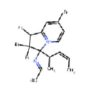 C/C=C\C(C)C1(N=CC(C)CC)[n+]2ccc(C(C)C)cc2C(CC)C1(CC)CC